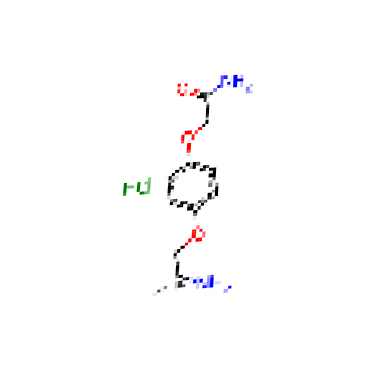 C[C@@H](N)COc1ccc(OCC(N)=O)cc1.Cl